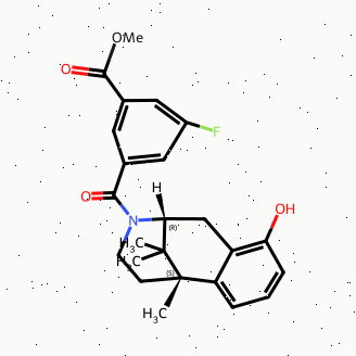 COC(=O)c1cc(F)cc(C(=O)N2CC[C@@]3(C)c4cccc(O)c4C[C@@H]2C3(C)C)c1